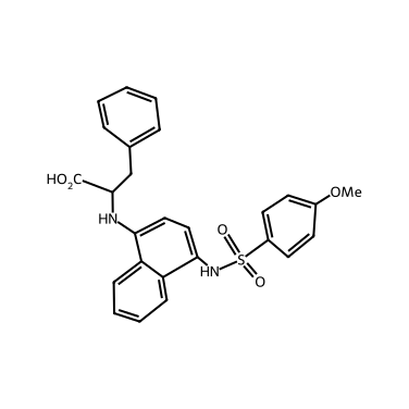 COc1ccc(S(=O)(=O)Nc2ccc(NC(Cc3ccccc3)C(=O)O)c3ccccc23)cc1